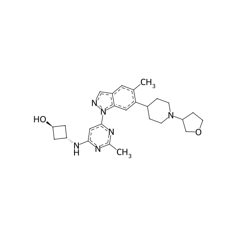 Cc1nc(N[C@H]2C[C@H](O)C2)cc(-n2ncc3cc(C)c(C4CCN(C5CCOC5)CC4)cc32)n1